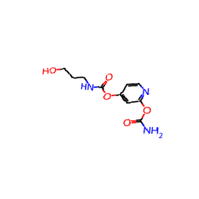 NC(=O)Oc1cc(OC(=O)NCCCO)ccn1